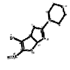 CCOC(=O)C1=C(Br)C2SC(N3CCOCC3)=NC2S1